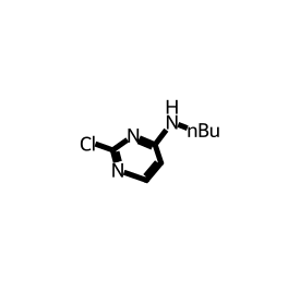 CCCCNc1ccnc(Cl)n1